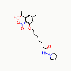 Cc1cc(OCCCCCCC(=O)NN2CCCC2)c([N+](=O)[O-])c(C(C)O)c1